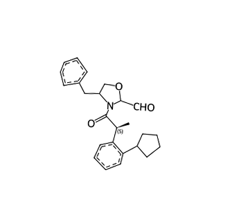 C[C@H](C(=O)N1C(Cc2ccccc2)COC1C=O)c1ccccc1C1CCCC1